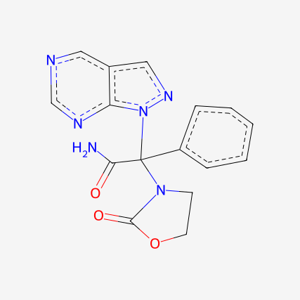 NC(=O)C(c1ccccc1)(N1CCOC1=O)n1ncc2cncnc21